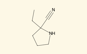 CCC1(C#N)CCCN1